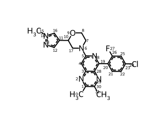 Cc1nc2cc(N3CCOC(c4cnn(C)c4)C3)nc(-c3ccc(Cl)cc3F)c2nc1C